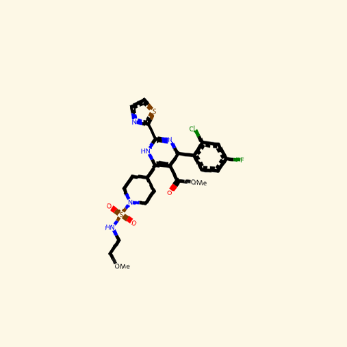 COCCNS(=O)(=O)N1CCC(C2=C(C(=O)OC)C(c3ccc(F)cc3Cl)N=C(c3nccs3)N2)CC1